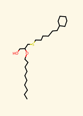 CCCCCCCCCCOC(CO)CSCCCCCCC1CCCCC1